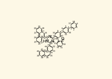 c1ccc(-c2ccc(-c3ccc(C4=NC(c5cc6ccccc6c6ccccc56)NC(c5ccc6ccc7ccccc7c6c5)=N4)c4c3oc3ccccc34)cc2)cc1